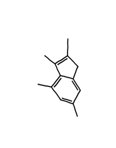 CC1=C(C)c2c(C)cc(C)cc2C1